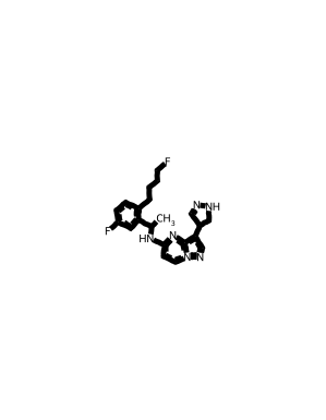 CC(Nc1ccn2ncc(C3C=NNC3)c2n1)c1cc(F)ccc1CCCCF